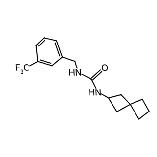 O=C(NCc1cccc(C(F)(F)F)c1)NC1CC2(CCC2)C1